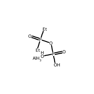 CCP(=O)(CC)OP(=O)(O)O.[AlH3]